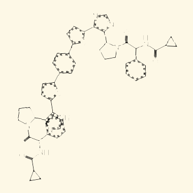 O=C(NC(C(=O)N1CCCC1c1nc[nH]c1-c1ccc(-c2ccc(-c3ccc(-c4[nH]cnc4C4CCCN4C(=O)C(NC(=O)C4CC4)c4ccccc4)s3)cc2)s1)c1ccccc1)C1CC1